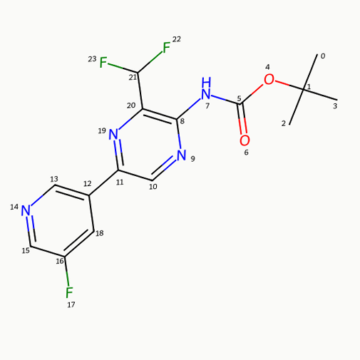 CC(C)(C)OC(=O)Nc1ncc(-c2cncc(F)c2)nc1C(F)F